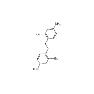 CCC(C)c1cc(N)ccc1CCc1ccc(N)cc1C(C)CC